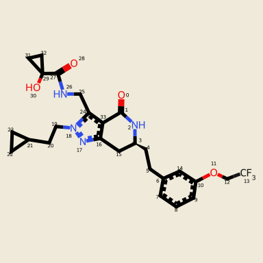 O=C1N[C@@H](CCc2cccc(OCC(F)(F)F)c2)Cc2nn(CCC3CC3)c(CNC(=O)C3(O)CC3)c21